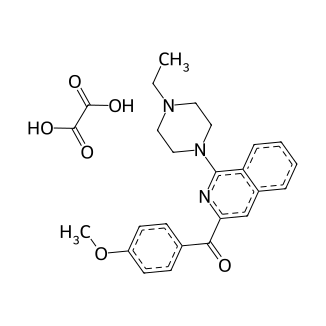 CCN1CCN(c2nc(C(=O)c3ccc(OC)cc3)cc3ccccc23)CC1.O=C(O)C(=O)O